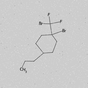 CCCC1CCC(Br)(C(F)(F)Br)CC1